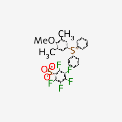 COc1c(C)cc([S+](c2ccccc2)c2ccccc2)cc1C.O=S(=O)([O-])c1c(F)c(F)c(F)c(F)c1F